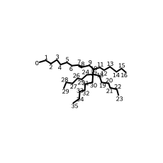 CCCCCCCC=CCC(CCCCCC)C(CCCCCC)(CCCCCC)CCCCCC